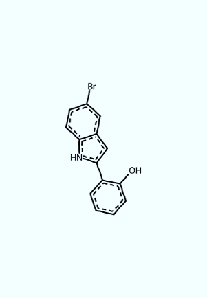 Oc1ccccc1-c1cc2cc(Br)ccc2[nH]1